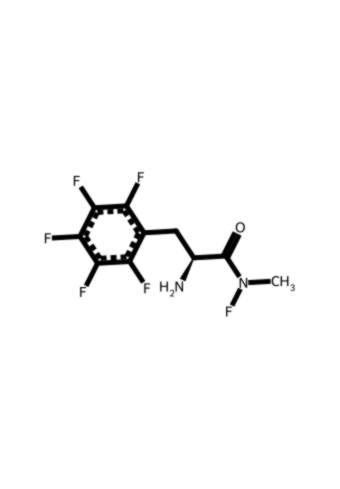 CN(F)C(=O)[C@@H](N)Cc1c(F)c(F)c(F)c(F)c1F